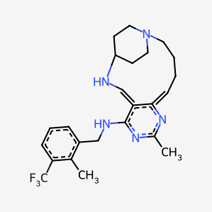 Cc1nc(NCc2cccc(C(F)(F)F)c2C)c2/c(n1)=C\CCCN1CCC(CC1)N/C=2